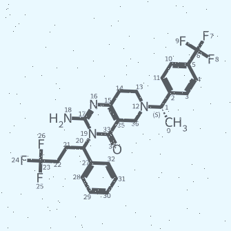 C[C@@H](c1ccc(C(F)(F)F)cc1)N1CCc2nc(N)n(C(CCC(F)(F)F)c3ccccc3)c(=O)c2C1